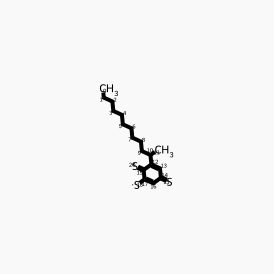 CCCCCCCCCCC(C)C1=CC(=S)C=C([S])C1=S